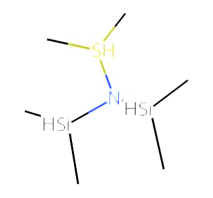 C[SiH](C)N([SiH](C)C)[SH](C)C